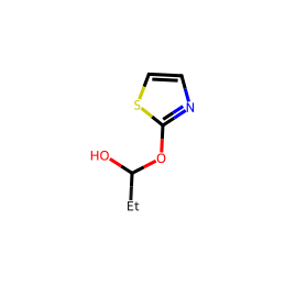 CCC(O)Oc1nccs1